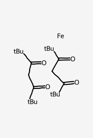 CC(C)(C)C(=O)CC(=O)C(C)(C)C.CC(C)(C)C(=O)CC(=O)C(C)(C)C.[Fe]